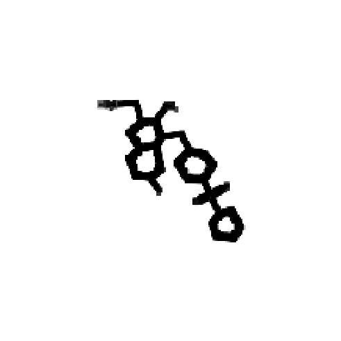 Cc1c(CC(=O)O)cc2ccc(F)cc2c1Cc1ccc(S(=O)(=O)c2ccccc2)cc1